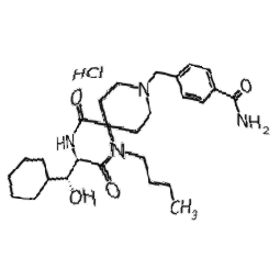 CCCCN1C(=O)[C@@H]([C@H](O)C2CCCCC2)NC(=O)C12CCN(Cc1ccc(C(N)=O)cc1)CC2.Cl